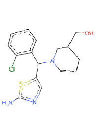 Nc1ncc(C(c2ccccc2Cl)N2CCCC(CO)C2)s1